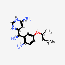 COC[C@H](C)Oc1ccc(N)c(C(=N)c2cc(N)ncn2)c1